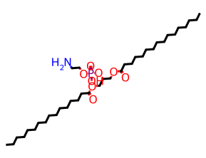 CCCCCCCCCCCCCCCC(=O)OCC(COC(=O)CCCCCCCCCCCCCCC)OP(=O)(O)OCCN